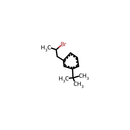 CC(Br)Cc1cccc(C(C)(C)C)c1